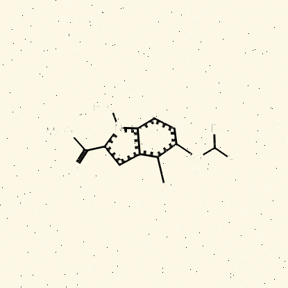 COC(=O)c1cc2c(Cl)c(OC(F)F)ccc2n1C